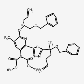 C=CCCC(OCc1ccccc1)(c1nnc(-c2nc(O[C@H](CC=C)COCc3ccccc3)c(C(F)(F)F)cc2N(C(=O)OC(C)(C)C)C(=O)OC(C)(C)C)o1)C(F)(F)F